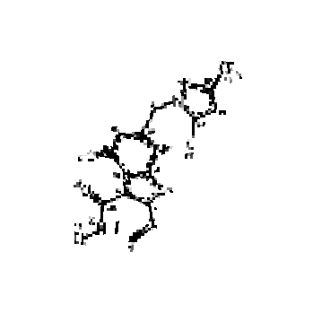 C=Cc1sc2nc(Cn3nc(C(F)(F)F)cc3Cl)cc(=O)n2c1C(=O)NCC